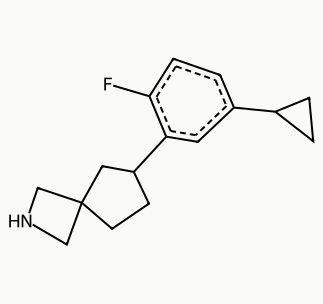 Fc1ccc(C2CC2)cc1C1CCC2(CNC2)C1